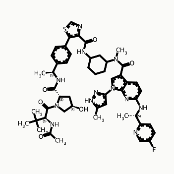 CC(=O)N[C@H](C(=O)N1C[C@H](O)C[C@H]1C(=O)N[C@@H](C)c1ccc(-c2scnc2C(=O)NC2CCCC(N(C)C(=O)c3cn(-c4cc(C)[nH]n4)c4nc(N[C@@H](C)c5ccc(F)cn5)ccc34)C2)cc1)C(C)(C)C